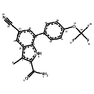 Cc1c(C(N)=O)[nH]c2c(-c3ccc(OC(F)(F)F)cc3)cc(C#N)cc12